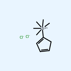 [CH3][Zr+2]([CH3])([CH3])([CH3])([CH3])[C]1=CC=CC1.[Cl-].[Cl-]